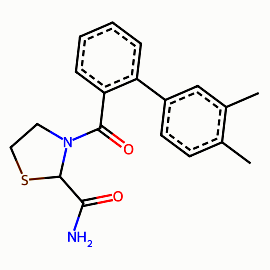 Cc1ccc(-c2ccccc2C(=O)N2CCSC2C(N)=O)cc1C